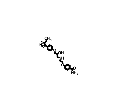 CCc1nnsc1-c1ccc(OCC(O)CNCCOc2ccc(C(N)=O)cc2)cc1